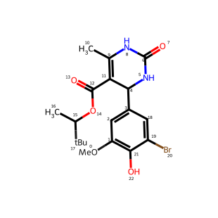 COc1cc(C2NC(=O)NC(C)=C2C(=O)OC(C)C(C)(C)C)cc(Br)c1O